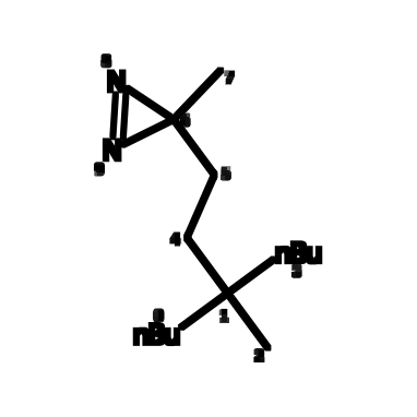 CCCCC(C)(CCCC)CCC1(C)N=N1